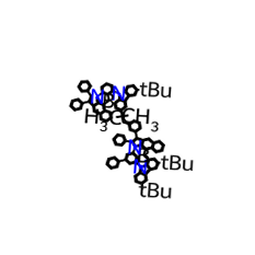 CC(C)(C)c1ccc2c(c1)c1cc(C(C)(C)C)cc3c1n2-c1cc(-c2ccccc2)cc2c1B3c1c3ccccc3cc3c(-c4cccc(CC(C)(C)c5cc6c7c(c5)c5cc(C(C)(C)C)ccc5n7-c5cccc7c5B6c5c6ccccc6cc6c(-c8ccccc8)c(-c8ccccc8)n-7c56)c4)c(-c4ccccc4)n-2c13